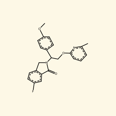 COc1ccc(C(COc2cccc(C)n2)N2Cc3ccc(F)cc3C2=O)cc1